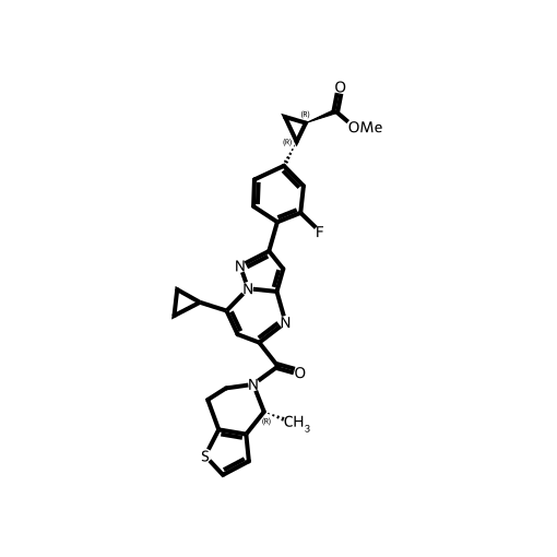 COC(=O)[C@@H]1C[C@H]1c1ccc(-c2cc3nc(C(=O)N4CCc5sccc5[C@H]4C)cc(C4CC4)n3n2)c(F)c1